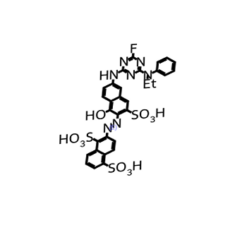 CCN(c1ccccc1)c1nc(F)nc(Nc2ccc3c(O)c(/N=N/c4ccc5c(S(=O)(=O)O)cccc5c4S(=O)(=O)O)c(S(=O)(=O)O)cc3c2)n1